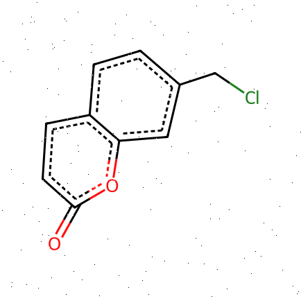 O=c1ccc2ccc(CCl)cc2o1